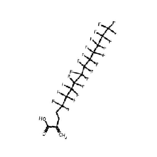 C=C(CCC(F)(F)C(F)(F)C(F)(F)C(F)(F)C(F)(F)C(F)(F)C(F)(F)C(F)(F)C(F)(F)C(F)(F)C(F)(F)F)C(=O)O